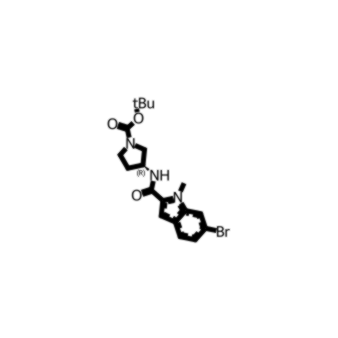 Cn1c(C(=O)N[C@@H]2CCN(C(=O)OC(C)(C)C)C2)cc2ccc(Br)cc21